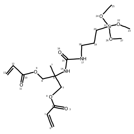 C=CC(=O)OCC(C)(COC(=O)C=C)NC(=O)NCCC[Si](OC)(OC)OC